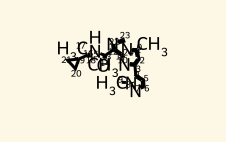 Cc1cc(-c2ccnn2C)nc2c(C(=O)NC(C)(C)C3CC3)ncn12